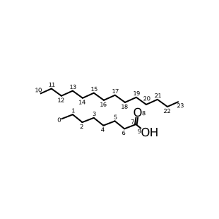 CCCCCCCC(=O)O.CCCCCCCCCCCCCC